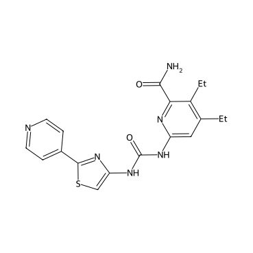 CCc1cc(NC(=O)Nc2csc(-c3ccncc3)n2)nc(C(N)=O)c1CC